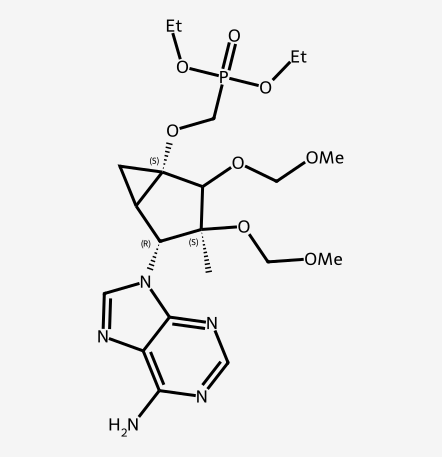 CCOP(=O)(CO[C@@]12CC1[C@@H](n1cnc3c(N)ncnc31)[C@](C)(OCOC)C2OCOC)OCC